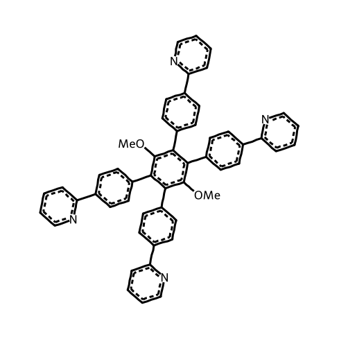 COc1c(-c2ccc(-c3ccccn3)cc2)c(-c2ccc(-c3ccccn3)cc2)c(OC)c(-c2ccc(-c3ccccn3)cc2)c1-c1ccc(-c2ccccn2)cc1